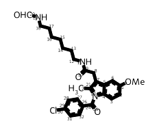 COc1ccc2c(c1)c(CC(=O)NCCCCCCCNC=O)c(C)n2C(=O)c1ccc(Cl)cc1